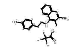 Cc1c(N)nc2ccccc2c1NCCc1ccc([N+](=O)[O-])cc1.O=C(O)C(F)(F)F